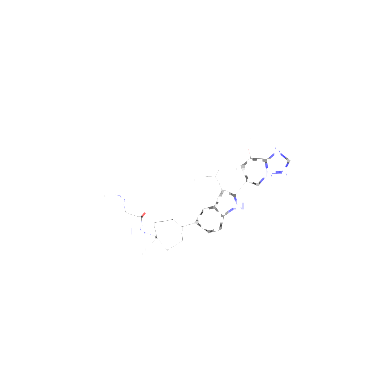 CNCC(=O)NC1(C)CCC(c2ccc3[nH]c(-c4cc(OC)c5ncnn5c4)c(C(C)C)c3c2)CC1